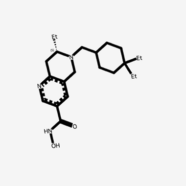 CC[C@H]1Cc2ncc(C(=O)NO)cc2CN1CC1CCC(CC)(CC)CC1